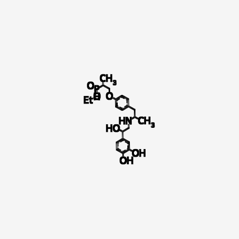 CCO[PH](=O)C(C)COc1ccc(CC(C)NCC(O)c2ccc(O)c(O)c2)cc1